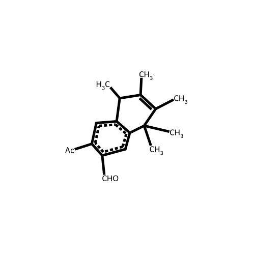 CC(=O)c1cc2c(cc1C=O)C(C)(C)C(C)=C(C)C2C